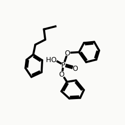 CCCCc1ccccc1.O=P(O)(Oc1ccccc1)Oc1ccccc1